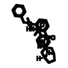 COc1cccc(C(=O)NC2CC3CC[C@@H](C2)N3c2ccc(C(=O)NCCc3ccccc3)cn2)c1C